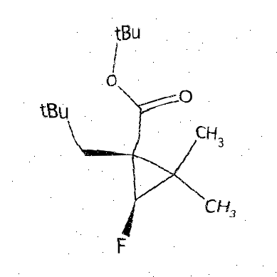 CC(C)(C)C[C@]1(C(=O)OC(C)(C)C)[C@H](F)C1(C)C